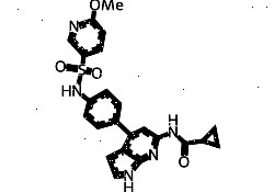 COc1ccc(S(=O)(=O)Nc2ccc(-c3cc(NC(=O)C4CC4)nc4[nH]ccc34)cc2)cn1